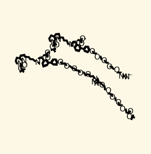 COC(=O)C[C@H](CN(C)CCCCc1ccc2c(n1)N(C(=O)OC(C)(C)C)CCC2)c1cccc(-c2ccc(OCCOCCOCCOCCOCCN=[N+]=[N-])cc2)c1.COC(=O)C[C@H](CN(C)CCCCc1ccc2c(n1)N(C(=O)OC(C)(C)C)CCC2)c1cccc(-c2ccc(OCCOCCOCCOCCOCCn3cc(COCCOCCOCCOCCOCCC(=O)OC(C)(C)C)nn3)cc2)c1